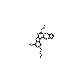 CCCCc1cc(O)c2sc3nc(COC)n(Cc4ccco4)c(=O)c3c2c1